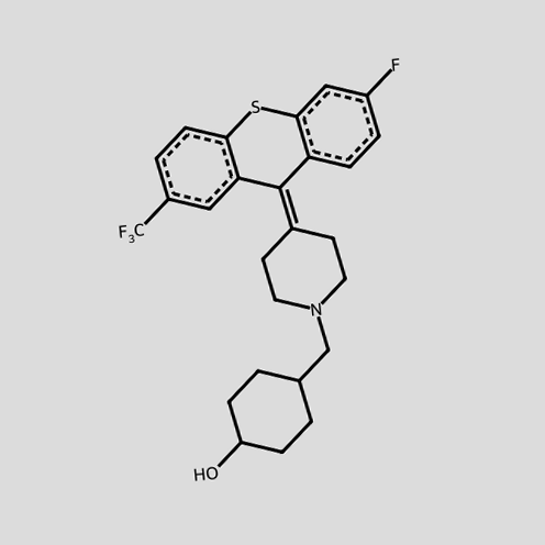 OC1CCC(CN2CCC(=C3c4ccc(F)cc4Sc4ccc(C(F)(F)F)cc43)CC2)CC1